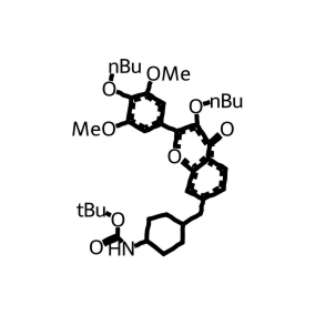 CCCCOc1c(OC)cc(-c2oc3cc(CC4CCC(NC(=O)OC(C)(C)C)CC4)ccc3c(=O)c2OCCCC)cc1OC